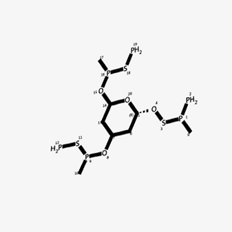 CP(P)SO[C@@H]1CC(OP(C)SP)CC(OP(C)SP)O1